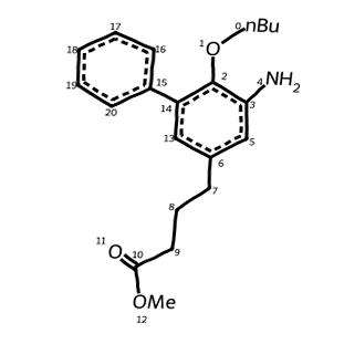 CCCCOc1c(N)cc(CCCC(=O)OC)cc1-c1ccccc1